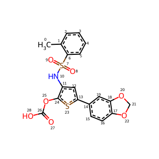 Cc1ccccc1S(=O)(=O)Nc1cc(-c2ccc3c(c2)OCO3)sc1OC(=O)O